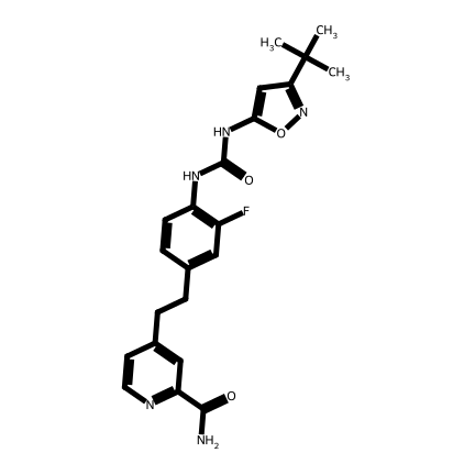 CC(C)(C)c1cc(NC(=O)Nc2ccc(CCc3ccnc(C(N)=O)c3)cc2F)on1